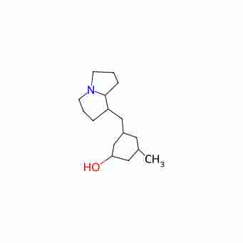 CC1CC(O)CC(CC2CCCN3CCCC23)C1